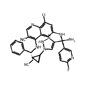 BC(Nc1cc(Cl)c2ncc(C#N)c(N[C@H](CC#N)c3ccccc3)c2c1)(C1=CN(C2CC2)NN1)c1ccc(F)nc1